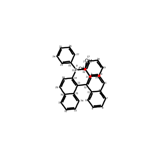 O=C(O)c1ccc2ccccc2c1-c1c(P(c2ccccc2)c2ccccc2)ccc2ccccc12